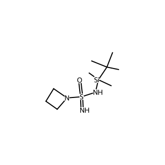 CC(C)(C)[Si](C)(C)NS(=N)(=O)N1CCC1